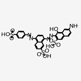 [NH]c1ccc2cc(S(=O)(=O)O)c(/N=N/c3ccc(/N=N/c4ccc(S(=O)(=O)O)cc4)c4ccc(S(=O)(=O)O)cc34)c(O)c2c1